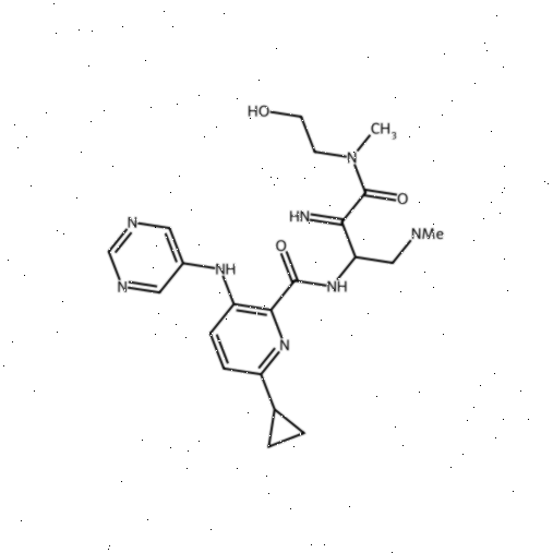 CNCC(NC(=O)c1nc(C2CC2)ccc1Nc1cncnc1)C(=N)C(=O)N(C)CCO